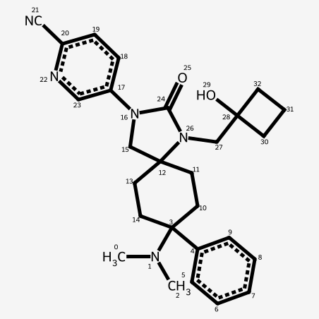 CN(C)C1(c2ccccc2)CCC2(CC1)CN(c1ccc(C#N)nc1)C(=O)N2CC1(O)CCC1